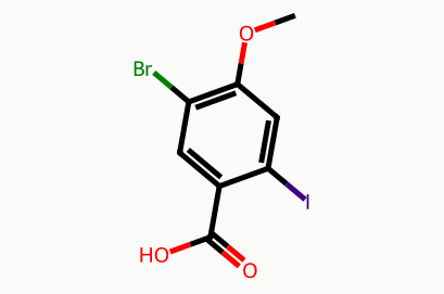 COc1cc(I)c(C(=O)O)cc1Br